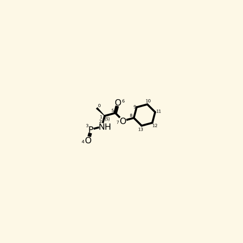 C[C@H](NP=O)C(=O)OC1CCCCC1